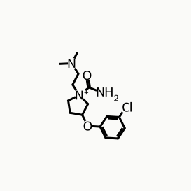 CN(C)CC[N+]1(C(N)=O)CCC(Oc2cccc(Cl)c2)C1